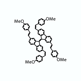 COc1ccc(C=Cc2ccc3c(c2)C(=C2c4cc(C=Cc5ccc(OC)cc5)ccc4-c4ccc(C=Cc5ccc(OC)cc5)cc42)c2cc(C=Cc4ccc(OC)cc4)ccc2-3)cc1